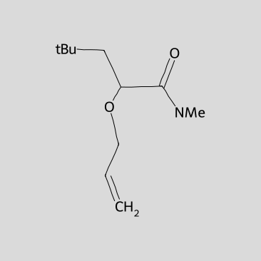 C=CCOC(CC(C)(C)C)C(=O)NC